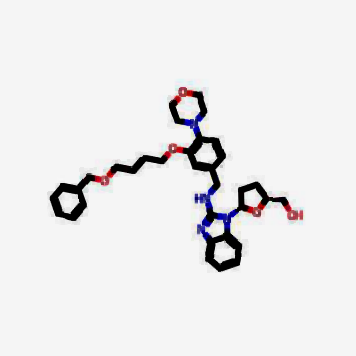 OC[C@@H]1CC[C@H](n2c(NCc3ccc(N4CCOCC4)c(OCCCCOCc4ccccc4)c3)nc3ccccc32)O1